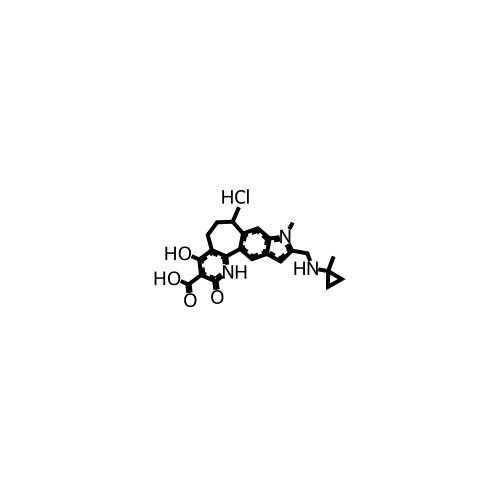 CC1CCc2c([nH]c(=O)c(C(=O)O)c2O)-c2cc3cc(CNC4(C)CC4)n(C)c3cc21.Cl